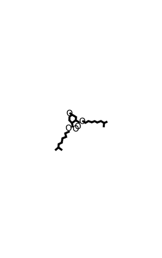 CC(C)CCCCCCOC(=O)C1CC2OC2CC1C(=O)OCCCCCCC(C)C